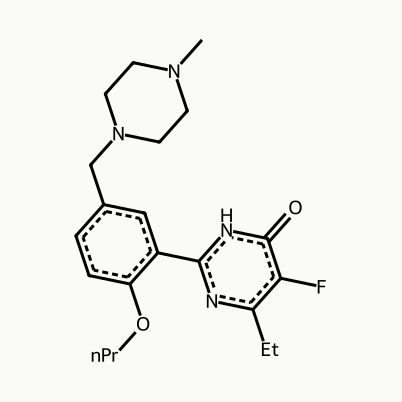 CCCOc1ccc(CN2CCN(C)CC2)cc1-c1nc(CC)c(F)c(=O)[nH]1